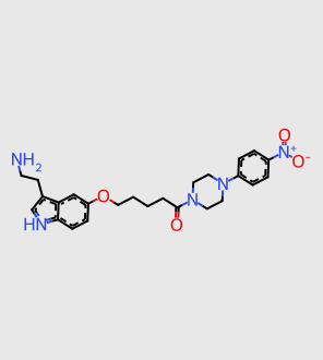 NCCc1c[nH]c2ccc(OCCCCC(=O)N3CCN(c4ccc([N+](=O)[O-])cc4)CC3)cc12